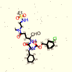 CCS(=O)(=O)NCCN(C)C(=O)CC[C@@H](C=O)NC(=O)[C@H](CC1CCCCC1)NC(=O)OCc1cccc(Cl)c1